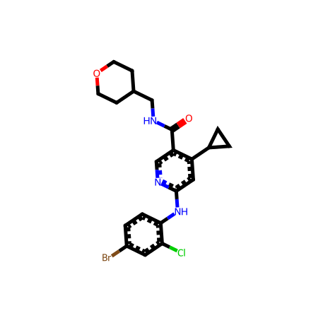 O=C(NCC1CCOCC1)c1cnc(Nc2ccc(Br)cc2Cl)cc1C1CC1